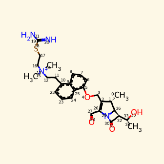 C[C@H]1C(COc2cccc3c(CC[N+](C)(C)CCSC(=N)N)cccc23)=C(C=O)N2C(=O)[C@H]([C@@H](C)O)C12